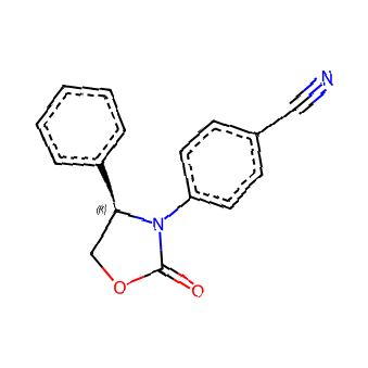 N#Cc1ccc(N2C(=O)OC[C@H]2c2ccccc2)cc1